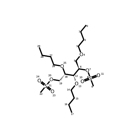 CCCCOC[C@@H](OS(C)(=O)=O)[C@H](OCCCC)[C@H](COS(C)(=O)=O)OCCCC